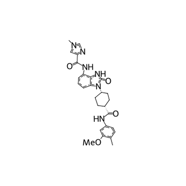 COc1cc(NC(=O)[C@H]2CC[C@@H](n3c(=O)[nH]c4c(NC(=O)c5cn(C)cn5)cccc43)CC2)ccc1C